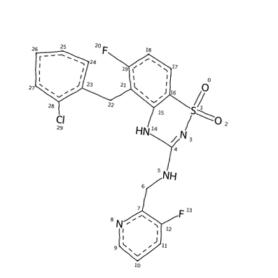 O=S1(=O)N=C(NCc2ncccc2F)Nc2c1ccc(F)c2Cc1ccccc1Cl